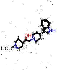 O=C(O)N1CCC(C(O)CN2CCC(c3c[nH]c4ccccc34)CC2)CC1